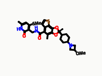 COC1CN(C2CCC([C@]3(C)Oc4c(C)c(C(=O)NCc5c(SC)cc(C)[nH]c5=O)c5ccsc5c4O3)CC2)C1